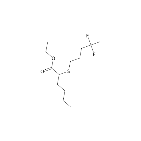 CCCCC(SCCCC(C)(F)F)C(=O)OCC